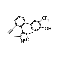 C#Cc1cccc(-c2ccc(O)c(C(F)(F)F)c2)c1-c1c(C)noc1C